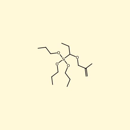 C=C(C)COC(CC)[Si](OCCC)(OCCC)OCCC